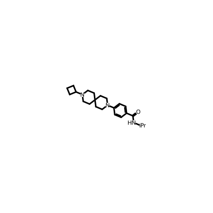 CC(C)NC(=O)c1ccc(N2CCC3(CC2)CCN(C2CCC2)CC3)cc1